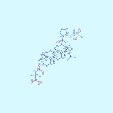 C=C(C)[C@@H]1CC[C@]2(CC(=O)N3CCC[C@@H]3CNS(C)(=O)=O)CC[C@]3(C)[C@H](CC[C@@H]4[C@@]5(C)CC[C@H](OC(=O)CC(C)(C)C(=O)O)C(C)(C)[C@@H]5CC[C@]43C)[C@@H]12